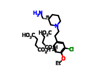 CCOc1ccc(CCN2CCC[C@@H](CN)C2)cc1Cl.O=C(O)CCC(=O)O.O=C(O)CCC(=O)O